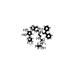 CC(=O)NCCN(NCC(c1ccccc1)c1ccccc1)c1ncc2ncn([C@@H]3C[C@H](n4cc(C)cn4)[C@@H](O)[C@H]3O)c2n1.O=C(O)C(F)(F)F